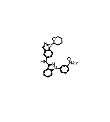 O=[N+]([O-])c1cccc(-n2nc(Nc3ccc4c(cnn4C4CCCCO4)c3)c3ccccc32)c1